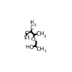 CCOC(C)C(C)OCC(C)O